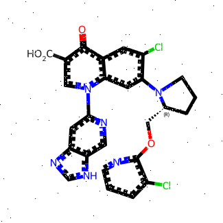 O=C(O)c1cn(-c2cc3nc[nH]c3cn2)c2cc(N3CCC[C@@H]3COc3ncccc3Cl)c(Cl)cc2c1=O